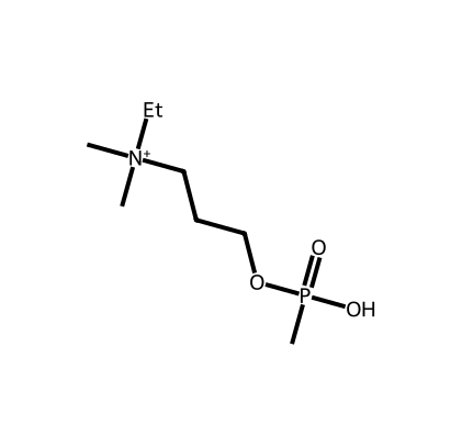 CC[N+](C)(C)CCCOP(C)(=O)O